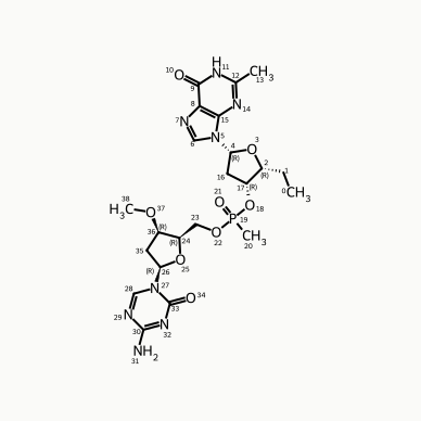 CC[C@H]1O[C@@H](n2cnc3c(=O)[nH]c(C)nc32)C[C@H]1OP(C)(=O)OC[C@H]1O[C@@H](n2cnc(N)nc2=O)C[C@H]1OC